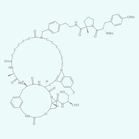 CN[C@@H](Cc1ccc(OC)cc1)C(=O)N1CCC[C@@]1(C)C(=O)NCCc1ccc(CN2CCCCCCn3cc(c4cc(F)ccc43)C[C@@H]3NC(=O)[C@H](Cc4cccc(c4)CNC(=O)COC4CCN(C3=O)[C@@H]4C(=O)N[C@H](C=O)[C@@H](C)O)NC(=O)[C@@H](C)NC(=O)CCCCCC2=O)cc1